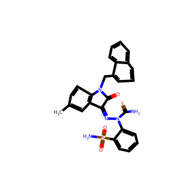 Cc1ccc2c(c1)/C(=N/N(C(N)=S)c1ccccc1S(N)(=O)=O)C(=O)N2Cc1cccc2ccccc12